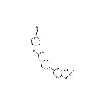 N#Cc1ccc(NC(=O)C[C@H]2CC[C@H](c3ccc4c(c3)OC(F)(F)O4)CC2)cc1